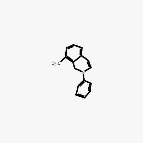 O=Cc1cccc2c1CN(c1ccccc1)C=C2